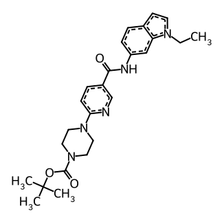 CCn1ccc2ccc(NC(=O)c3ccc(N4CCN(C(=O)OC(C)(C)C)CC4)nc3)cc21